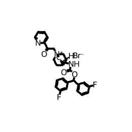 O=C(N[C@H]1C[N+]2(CC(=O)c3ccccn3)CCC1CC2)OC(c1cccc(F)c1)c1cccc(F)c1.[Br-]